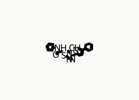 CCn1c(SCC(=O)Nc2ccccc2)nnc1-c1ccc(C2=CC=CCC2)cn1